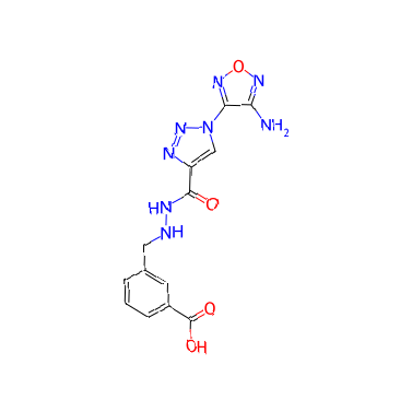 Nc1nonc1-n1cc(C(=O)NNCc2cccc(C(=O)O)c2)nn1